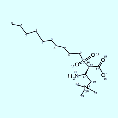 CCCCCCCCCCS(=O)(=O)[C@@H](C(=O)[O-])C(N)C[N+](C)(C)C